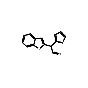 C=C[C](c1cccs1)c1cc2ccccc2s1